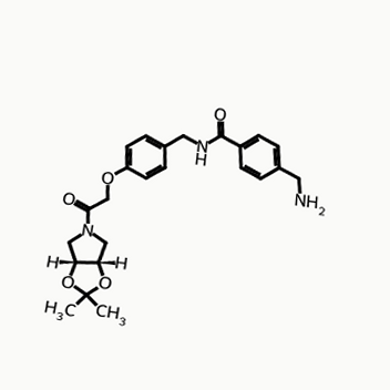 CC1(C)O[C@H]2CN(C(=O)COc3ccc(CNC(=O)c4ccc(CN)cc4)cc3)C[C@H]2O1